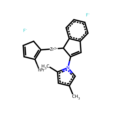 CCCC1=[C]([Zr+2][CH]2C(n3cc(C)cc3C)=Cc3ccccc32)CC=C1.[F-].[F-]